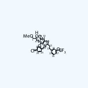 COCC(O)Cn1c(=O)c2c(nc(CCc3cccc(OC(F)(F)F)c3)n2Cc2ccc(Cl)cc2)n(C)c1=O